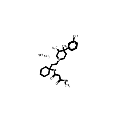 CNC(=O)CC(=O)NC1(CCN2CCC(C)(c3cccc(O)c3)C(C)C2)CCCCC1.Cl.O